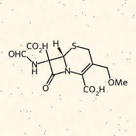 COCC1=C(C(=O)O)N2C(=O)C(NC=O)(C(=O)O)[C@@H]2SC1